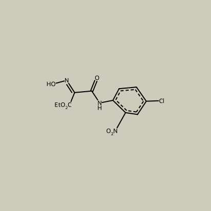 CCOC(=O)/C(=N\O)C(=O)Nc1ccc(Cl)cc1[N+](=O)[O-]